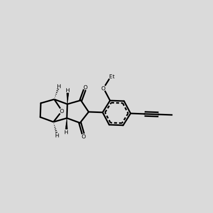 CC#Cc1ccc(C2C(=O)[C@@H]3[C@H](C2=O)[C@H]2CC[C@@H]3O2)c(OCC)c1